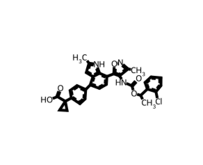 Cc1cc2c(-c3ccc(C4(C(=O)O)CC4)cc3)ccc(-c3onc(C)c3NC(=O)OC(C)c3ccccc3Cl)c2[nH]1